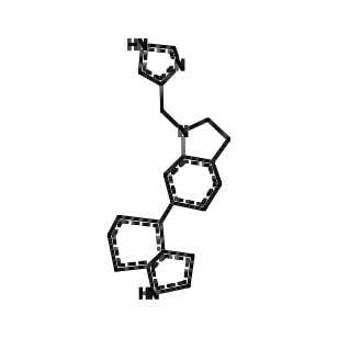 c1cc(-c2ccc3c(c2)N(Cc2c[nH]cn2)CC3)c2cc[nH]c2c1